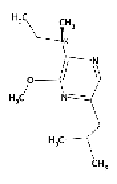 CC[C@@H](C)c1ncc(CC(C)C)nc1OC